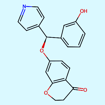 O=C1CCOc2cc(O[C@@H](c3ccncc3)c3cccc(O)c3)ccc21